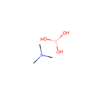 CN(C)C.OB(O)O